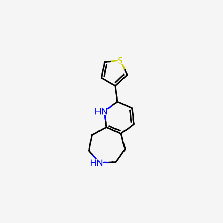 C1=CC(c2ccsc2)NC2=C1CCNCC2